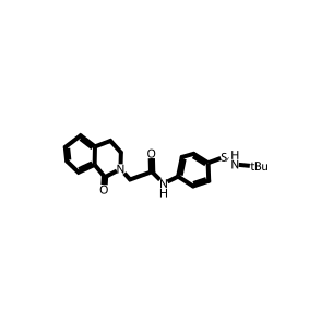 CC(C)(C)NSc1ccc(NC(=O)CN2CCc3ccccc3C2=O)cc1